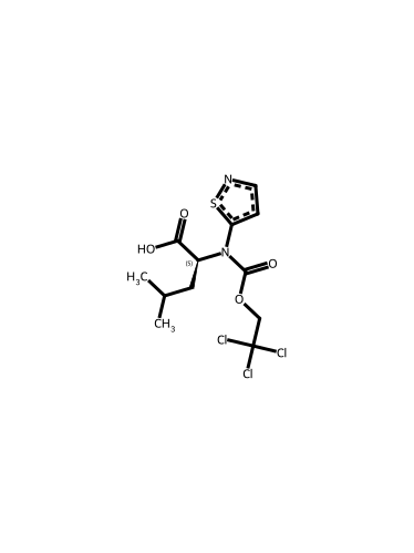 CC(C)C[C@@H](C(=O)O)N(C(=O)OCC(Cl)(Cl)Cl)c1ccns1